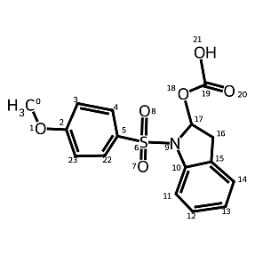 COc1ccc(S(=O)(=O)N2c3ccccc3CC2OC(=O)O)cc1